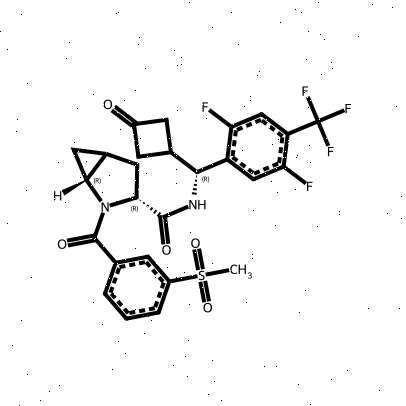 CS(=O)(=O)c1cccc(C(=O)N2[C@@H](C(=O)N[C@@H](c3cc(F)c(C(F)(F)F)cc3F)C3CC(=O)C3)CC3C[C@H]32)c1